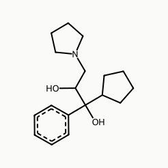 OC(CN1CCCC1)C(O)(c1ccccc1)C1CCCC1